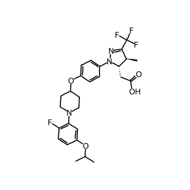 CC(C)Oc1ccc(F)c(N2CCC(Oc3ccc(N4N=C(C(F)(F)F)[C@@H](C)[C@@H]4CC(=O)O)cc3)CC2)c1